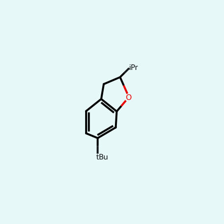 CC(C)C1Cc2ccc(C(C)(C)C)cc2O1